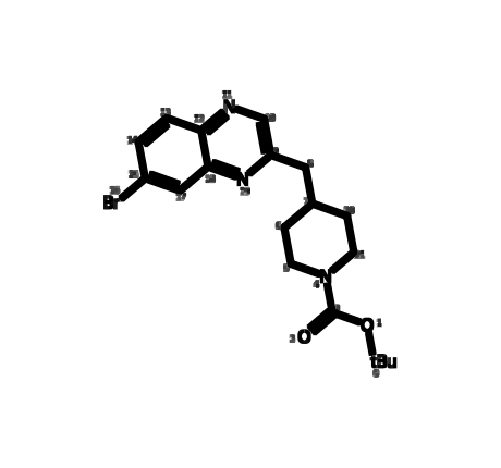 CC(C)(C)OC(=O)N1CCC(Cc2cnc3ccc(Br)cc3n2)CC1